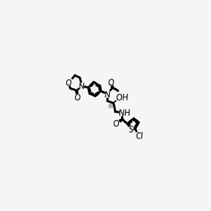 CC(=O)N(C[C@@H](O)CNC(=O)c1ccc(Cl)s1)c1ccc(N2CCOCC2=O)cc1